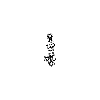 O=C(Nc1ccc(C2CCN(C(=O)C(c3ccccc3)c3ccccc3)CC2)cc1)C1CN(c2cccnn2)C1